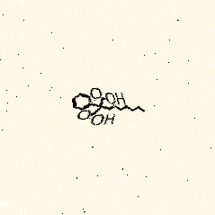 CCCCCCCC(C(=O)O)(C(=O)O)c1ccccc1